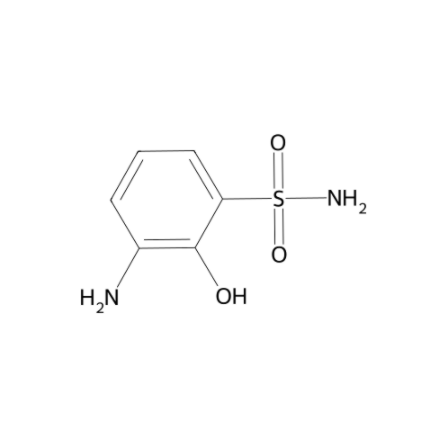 Nc1cccc(S(N)(=O)=O)c1O